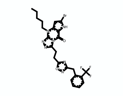 CCCCCn1c2cc(Br)[nH]c2c(=O)n2c(CCc3nc(Cc4ccccc4C(F)(F)F)no3)nnc12